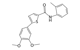 COc1ccc(-c2ccc(C(=O)Nc3ccccc3C)s2)cc1OC